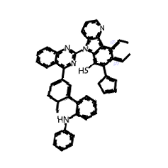 C/C=c1/c(C2=CC=CC2)c(S)c2c(/c1=C/C)c1ncccc1n2-c1nc(C2=CCC(C)C(c3ccccc3Nc3ccccc3)=C2)c2ccccc2n1